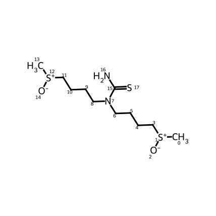 C[S+]([O-])CCCCN(CCCC[S+](C)[O-])C(N)=S